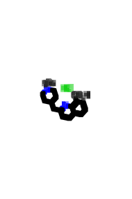 CCCCN1CCC(Cc2ccc3cccc(C(=O)O)c3n2)CC1.Cl